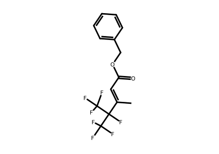 C/C(=C\C(=O)OCc1ccccc1)C(F)(C(F)(F)F)C(F)(F)F